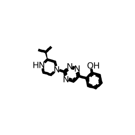 CC(C)[C@H]1CN(c2ncc(-c3ccccc3O)nn2)CCN1